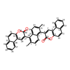 Cc1ccc2c(-c3cc4c(ccc5ccccc54)oc3=O)c(C)ccc2c1-c1cc2c(ccc3ccccc32)oc1=O